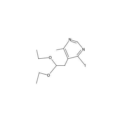 CCOC(Cc1c(C)ncnc1I)OCC